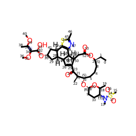 CC[C@H]1CCC[C@H](O[C@H]2CC[C@H](N(C)S(C)(=O)=O)C(C)O2)[C@@H](C)C(=O)C2=C[C@H]3[C@@H]4C[C@H](O[C@H](O)/C(OC)=C(/C)OC)C[C@H]4c4sc(C)nc4[C@H]3[C@@H]2CC(=O)O1